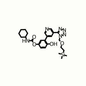 C[Si](C)(C)CCOCn1nnnc1-c1cncc(-c2cc(OC(=O)NC3CCCCC3)ccc2O)c1